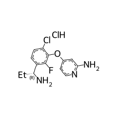 CC[C@@H](N)c1ccc(Cl)c(Oc2ccnc(N)c2)c1F.Cl